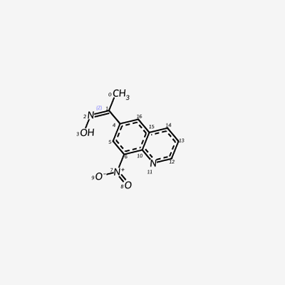 C/C(=N/O)c1cc([N+](=O)[O-])c2ncccc2c1